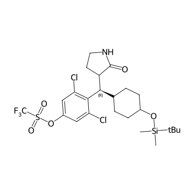 CC(C)(C)[Si](C)(C)OC1CCC([C@@H](c2c(Cl)cc(OS(=O)(=O)C(F)(F)F)cc2Cl)C2CCNC2=O)CC1